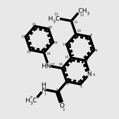 CNC(=O)c1cnc2ccc(C(C)C)cc2c1Nc1ccccc1